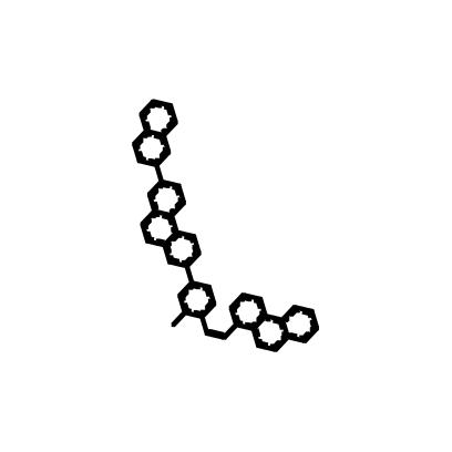 Cc1cc(-c2ccc3c(ccc4cc(-c5ccc6ccccc6c5)ccc43)c2)ccc1/C=C\c1cccc2c1ccc1ccccc12